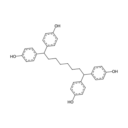 Oc1ccc(C(CCCCCCC(c2ccc(O)cc2)c2ccc(O)cc2)c2ccc(O)cc2)cc1